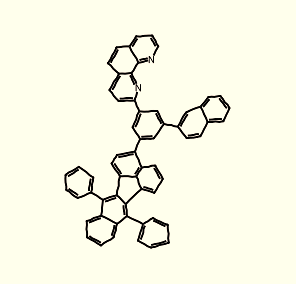 c1ccc(-c2c3c(c(-c4ccccc4)c4ccccc24)-c2ccc(-c4cc(-c5ccc6ccccc6c5)cc(-c5ccc6ccc7cccnc7c6n5)c4)c4cccc-3c24)cc1